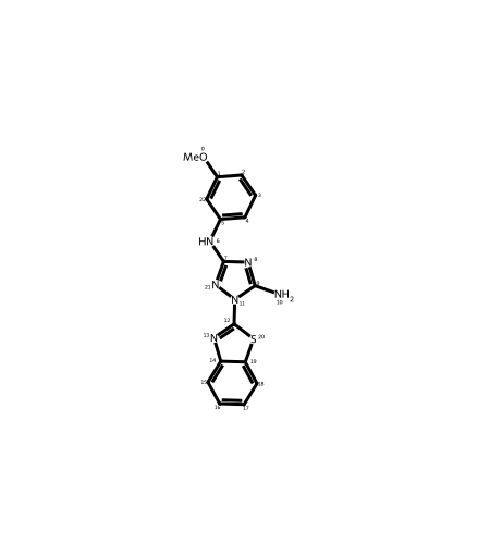 COc1cccc(Nc2nc(N)n(-c3nc4ccccc4s3)n2)c1